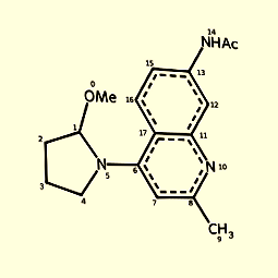 COC1CCCN1c1cc(C)nc2cc(NC(C)=O)ccc12